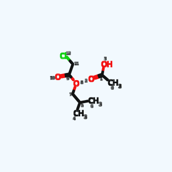 CC(=O)O.CC(C)COC(=O)CCl